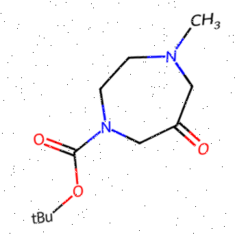 CN1CCN(C(=O)OC(C)(C)C)CC(=O)C1